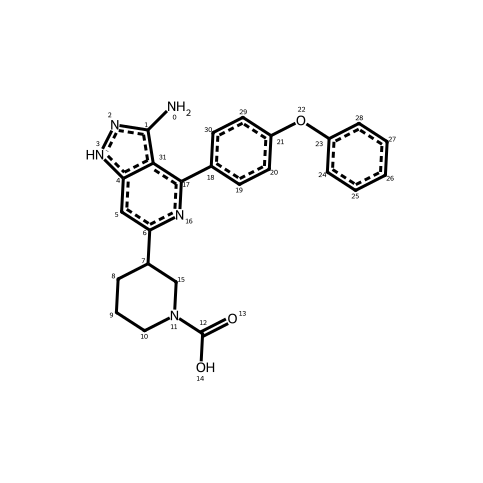 Nc1n[nH]c2cc(C3CCCN(C(=O)O)C3)nc(-c3ccc(Oc4ccccc4)cc3)c12